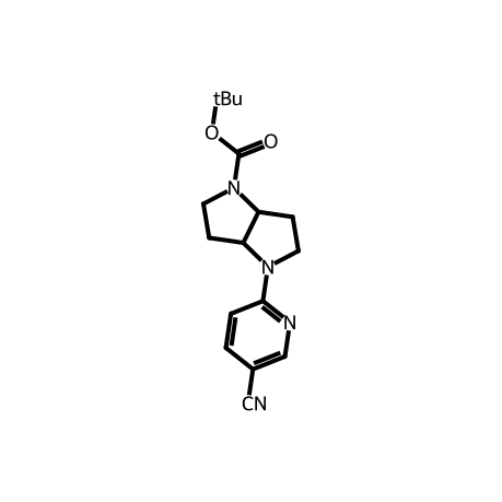 CC(C)(C)OC(=O)N1CCC2C1CCN2c1ccc(C#N)cn1